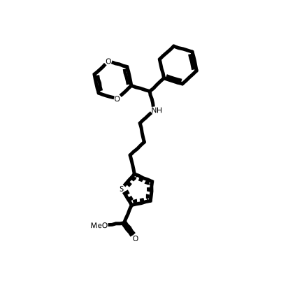 COC(=O)c1ccc(CCCNC(C2=CC=CCC2)C2=COC=CO2)s1